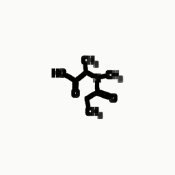 CCC(=O)N(C)C(C)C(=O)O